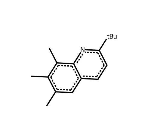 Cc1cc2ccc(C(C)(C)C)nc2c(C)c1C